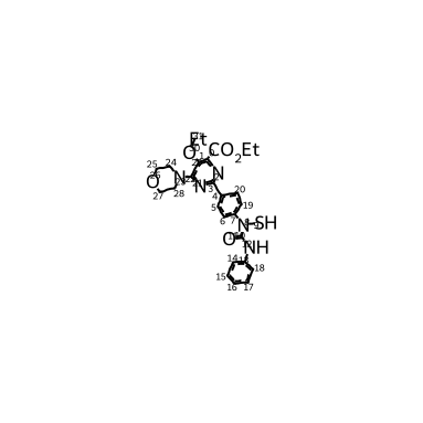 CCOC(=O)c1nc(-c2ccc(N(S)C(=O)Nc3ccccc3)cc2)nc(N2CCOCC2)c1OCC